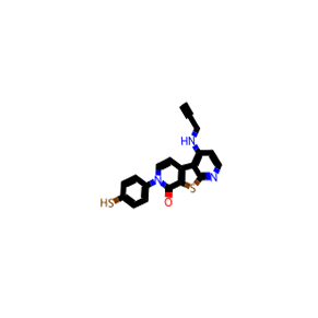 C#CCNc1ccnc2sc3c(=O)n(-c4ccc(S)cc4)ccc3c12